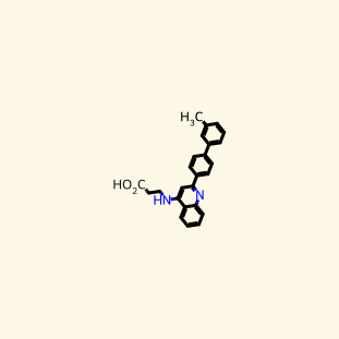 Cc1cccc(-c2ccc(-c3cc(NCCC(=O)O)c4ccccc4n3)cc2)c1